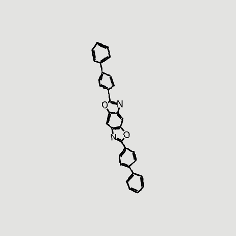 c1ccc(-c2ccc(-c3nc4cc5oc(-c6ccc(-c7ccccc7)cc6)nc5cc4o3)cc2)cc1